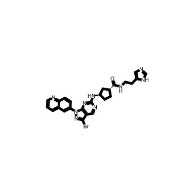 O=C(NCCc1cnc[nH]1)[C@@H]1CC[C@@H](Nc2ncc3c(Br)nn(-c4ccc5ncccc5c4)c3n2)C1